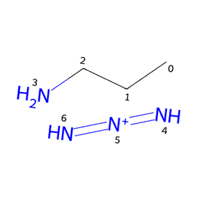 CCCN.N=[N+]=N